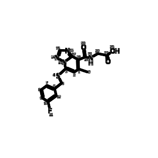 Cc1cc(SCc2cccc(F)c2)n2ncnc2c1C(=O)NCC(=O)O